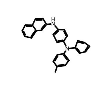 Cc1ccc(N(c2ccccc2)c2ccc(Nc3ccc4ccccc4c3)cc2)cc1